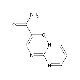 NC(=O)C1=CN=C2N=CC=CN2O1